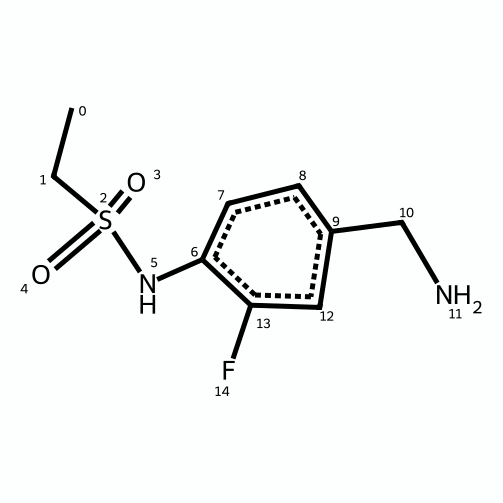 CCS(=O)(=O)Nc1ccc(CN)cc1F